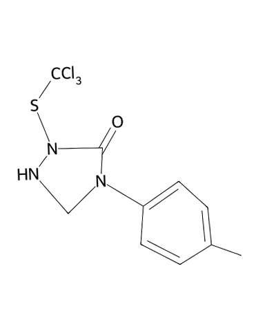 Cc1ccc(N2CNN(SC(Cl)(Cl)Cl)C2=O)cc1